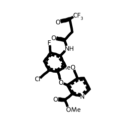 COC(=O)c1nccc(OC)c1Oc1cc(NC(=O)CC(=O)C(F)(F)F)c(F)cc1Cl